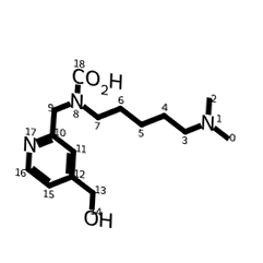 CN(C)CCCCCN(Cc1cc(CO)ccn1)C(=O)O